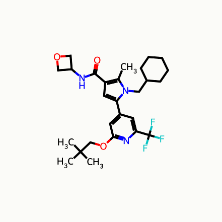 Cc1c(C(=O)NC2COC2)cc(-c2cc(OCC(C)(C)C)nc(C(F)(F)F)c2)n1CC1CCCCC1